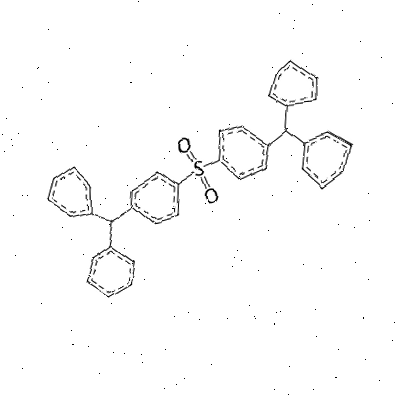 O=S(=O)(c1ccc(C(c2ccccc2)c2ccccc2)cc1)c1ccc(C(c2ccccc2)c2ccccc2)cc1